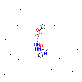 Cc1cc(NC(=O)NCCN2CCC(N(C)C(=O)c3ccccn3)C2)c2ccccc2n1